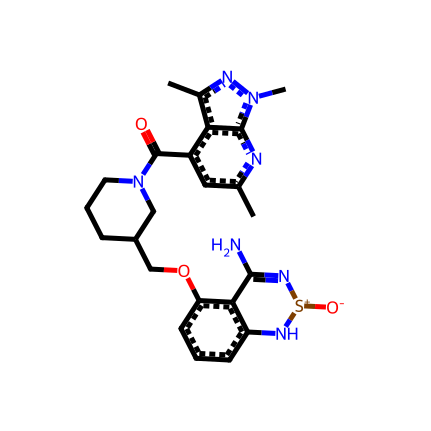 Cc1cc(C(=O)N2CCCC(COc3cccc4c3C(N)=N[S+]([O-])N4)C2)c2c(C)nn(C)c2n1